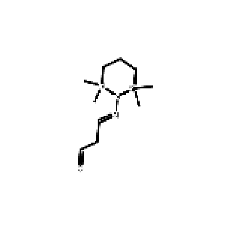 C[Si]1(C)CCC[Si](C)(C)N1N=CCC=O